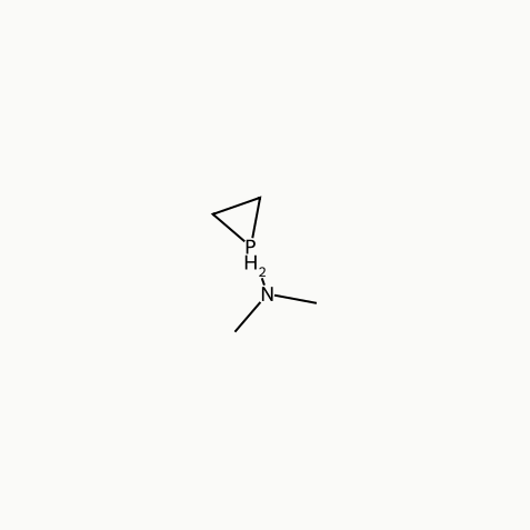 CN(C)[PH2]1CC1